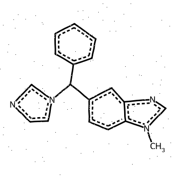 Cn1cnc2cc(C(c3ccccc3)n3ccnc3)ccc21